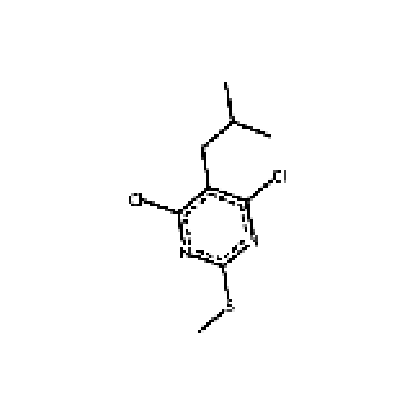 CSc1nc(Cl)c(CC(C)C)c(Cl)n1